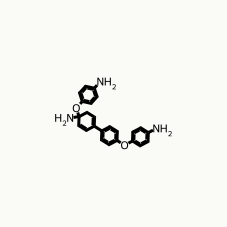 Nc1ccc(Oc2ccc(C3=CCC(N)(Oc4ccc(N)cc4)C=C3)cc2)cc1